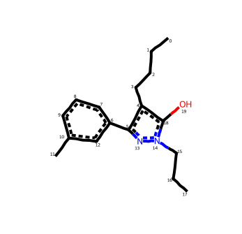 CCCCc1c(-c2cccc(C)c2)nn(CCC)c1O